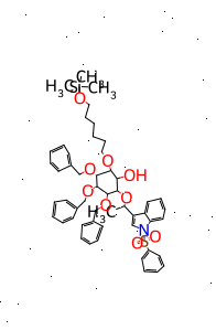 CC(OC1C(O)C(OCCCCCCO[Si](C)(C)C)C(OCc2ccccc2)C(OCc2ccccc2)C1OCc1ccccc1)c1cn(S(=O)(=O)c2ccccc2)c2ccccc12